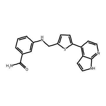 NC(=O)c1cccc(NCc2ccc(-c3ccnc4[nH]ccc34)s2)c1